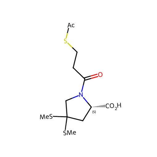 CSC1(SC)C[C@@H](C(=O)O)N(C(=O)CCSC(C)=O)C1